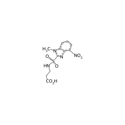 Cn1c(S(=O)(=O)NCCC(=O)O)nc2c([N+](=O)[O-])cccc21